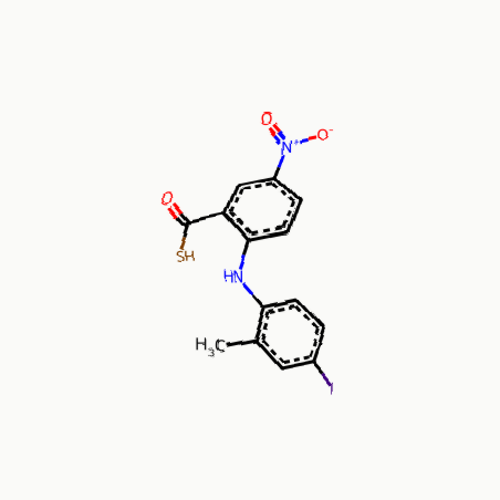 Cc1cc(I)ccc1Nc1ccc([N+](=O)[O-])cc1C(=O)S